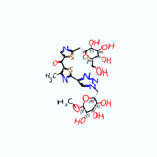 CO[C@H]1O[C@H](Cn2cc(-c3nc(C)c(C(=O)c4cnc(C[C@H]5O[C@H](CO)[C@@H](O)[C@H](O)[C@@H]5O)s4)s3)nn2)[C@@H](O)[C@H](O)[C@@H]1O